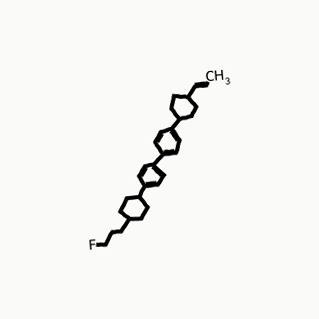 CC=CC1CCC(c2ccc(-c3ccc(C4CCC(CCCF)CC4)cc3)cc2)CC1